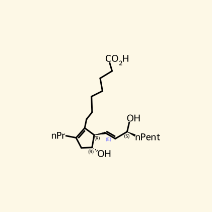 CCCCC[C@H](O)/C=C/[C@@H]1C(CCCCCCC(=O)O)=C(CCC)C[C@H]1O